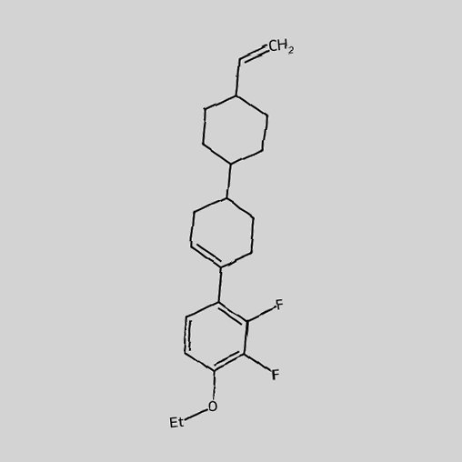 C=CC1CCC(C2CC=C(c3ccc(OCC)c(F)c3F)CC2)CC1